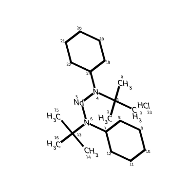 CC(C)(C)[N]([Nd][N](C1CCCCC1)C(C)(C)C)C1CCCCC1.Cl